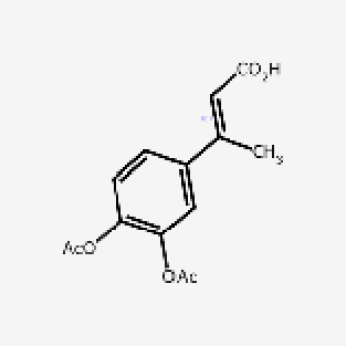 CC(=O)Oc1ccc(/C(C)=C/C(=O)O)cc1OC(C)=O